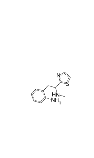 CNC(Cc1ccccc1N)c1nccs1